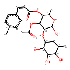 CC(=O)OC1C(OC(=O)/C=C\c2ccc(C)cc2)C(C)OC(O)C1OC1CC(C)C(O)C(O)C1O